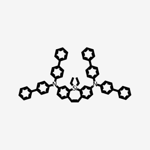 CC[Si]1(CC)c2cc(N(c3ccc(-c4ccccc4)cc3)c3ccc(-c4ccccc4)cc3)ccc2C=Cc2ccc(N(c3ccc(-c4ccccc4)cc3)c3ccc(-c4ccccc4)cc3)cc21